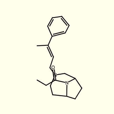 CCC(=O)N1C2CCC1CN(C/C=C(\C)c1ccccc1)CC2